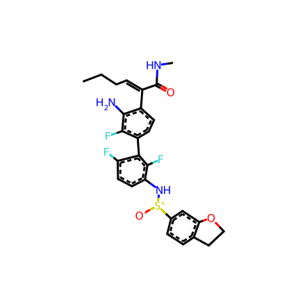 CCC/C=C(/C(=O)NC)c1ccc(-c2c(F)ccc(N[S+]([O-])c3ccc4c(c3)OCC4)c2F)c(F)c1N